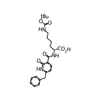 CC(C)(C)OC(=O)NCCCC[C@H](NC(=O)c1ccc(Cc2ccccc2)[nH]c1=O)C(=O)O